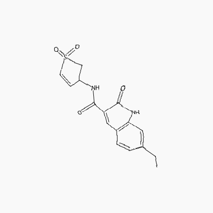 CCc1ccc2cc(C(=O)NC3C=CS(=O)(=O)C3)c(=O)[nH]c2c1